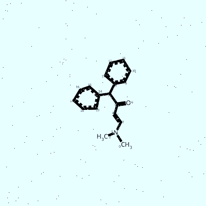 CN(C)C=CC(=O)C(c1ccccc1)c1ccccc1